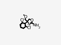 COCC1(c2c(Cl)cccc2Cl)COC(N)=N1